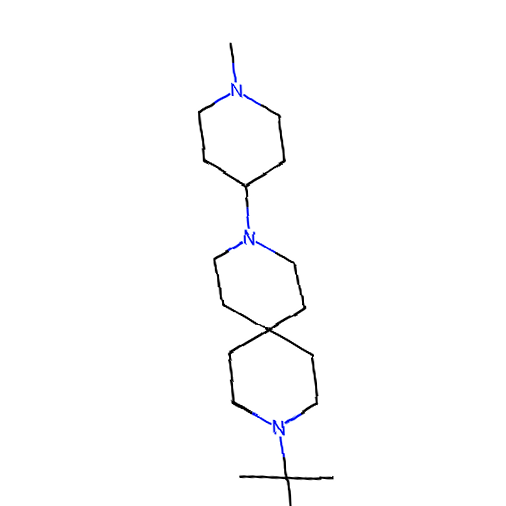 CN1CCC(N2CCC3(CC2)CCN(C(C)(C)C)CC3)CC1